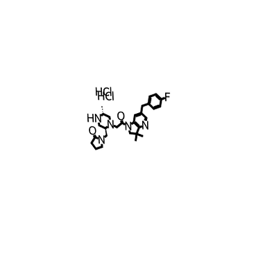 C[C@@H]1CN(CC(=O)N2CC(C)(C)c3ncc(Cc4ccc(F)cc4)cc32)[C@@H](CN2CCCC2=O)CN1.Cl.Cl